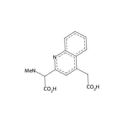 CNC(C(=O)O)c1cc(CC(=O)O)c2ccccc2n1